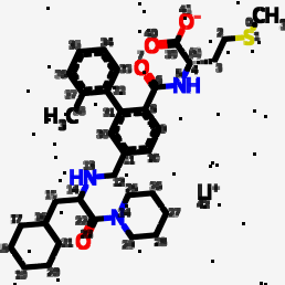 CSCC[C@H](NC(=O)c1ccc(CNC(CC2CCCCC2)C(=O)N2CCCCC2)cc1-c1ccccc1C)C(=O)[O-].[Li+]